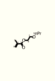 C=C(C)C(=O)OCCOCCC